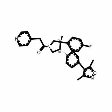 Cc1noc(C)c1-c1ccc([C@@H]2CN(C(=O)Cc3ccncc3)C[C@]2(C)c2ccc(F)cc2)cc1